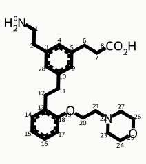 NCCc1cc(CCC(=O)O)cc(CCc2ccccc2OCCN2CCOCC2)c1